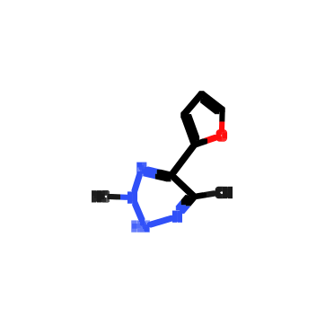 N#CC1=NNN(C#N)N=C1c1ccco1